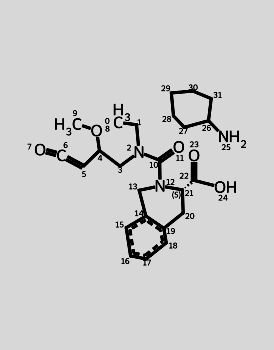 CCN(CC(C=C=O)OC)C(=O)N1Cc2ccccc2C[C@H]1C(=O)O.NC1CCCCC1